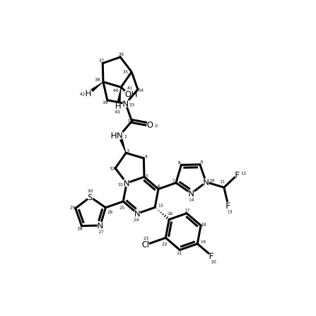 O=C(N[C@H]1CC2=C(c3ccn(C(F)F)n3)[C@H](c3ccc(F)cc3Cl)N=C(c3nccs3)N2C1)N1CC2CC[C@@H](C1)[C@H]2O